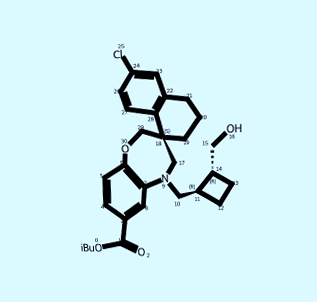 CC(C)COC(=O)c1ccc2c(c1)N(C[C@@H]1CC[C@H]1CO)C[C@@]1(CCCc3cc(Cl)ccc31)CO2